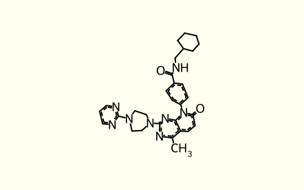 Cc1nc(N2CCN(c3ncccn3)CC2)nc2c1ccc(=O)n2-c1ccc(C(=O)NCC2CCCCC2)cc1